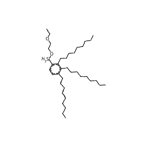 CCCCCCCCCc1ccc([SiH2]OCCOCC)c(CCCCCCCCC)c1CCCCCCCCC